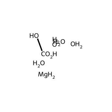 O.O.O.O.O=C(O)O.[MgH2]